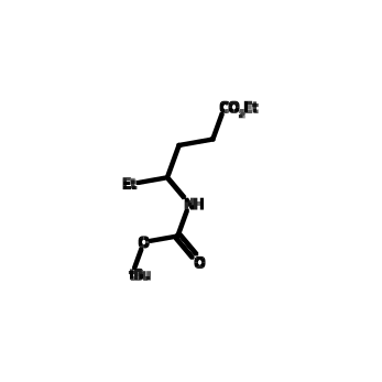 CCOC(=O)CCC(CC)NC(=O)OC(C)(C)C